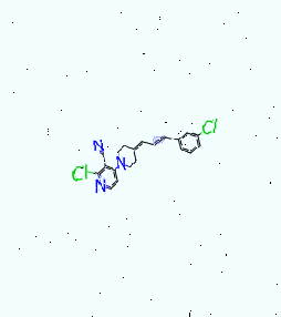 N#Cc1c(N2CCC(=C/C=C/c3cccc(Cl)c3)CC2)ccnc1Cl